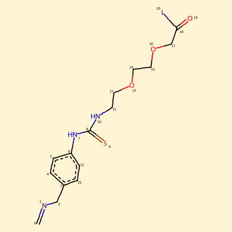 C=NCc1ccc(NC(=S)NCCOCCOCC(=O)I)cc1